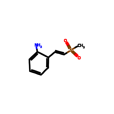 CS(=O)(=O)/C=C/c1ccccc1N